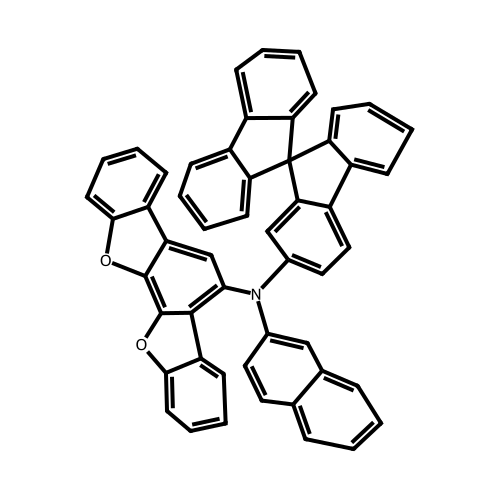 c1ccc2c(c1)-c1ccccc1C21c2ccccc2-c2ccc(N(c3ccc4ccccc4c3)c3cc4c5ccccc5oc4c4oc5ccccc5c34)cc21